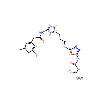 CC1C=C(CC(=O)Nc2nnc(CCCCc3nnc(NC(=O)C[C@@H](O)C(=O)O)s3)s2)C=C(F)C1